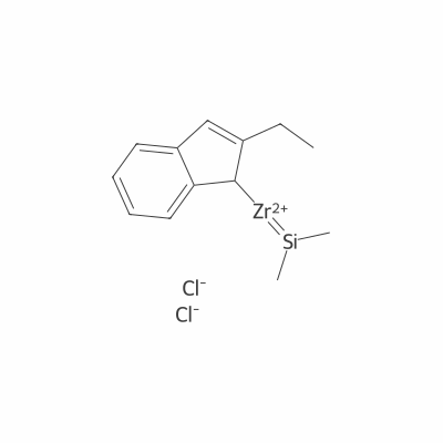 CCC1=Cc2ccccc2[CH]1[Zr+2]=[Si](C)C.[Cl-].[Cl-]